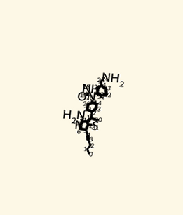 CCCC#Cc1cnc(N)c2c(-c3ccc(N(C(N)=O)c4cccc(CN)c4)cc3)csc12